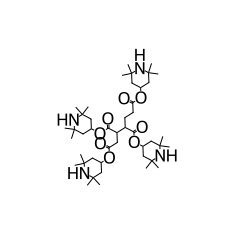 CC1(C)CC(OC(=O)CCC(C(=O)OC2CC(C)(C)NC(C)(C)C2)C(CC(=O)OC2CC(C)(C)NC(C)(C)C2)C(=O)OC2CC(C)(C)NC(C)(C)C2)CC(C)(C)N1